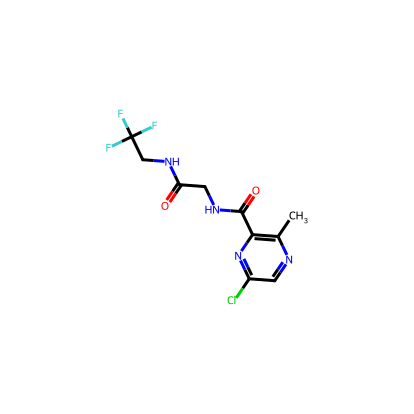 Cc1ncc(Cl)nc1C(=O)NCC(=O)NCC(F)(F)F